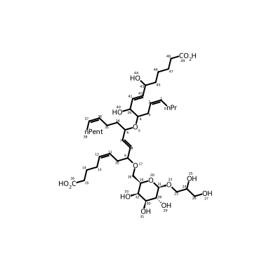 CCC/C=C\CC(OC(/C=C/C(C/C=C\CCCC(=O)O)OC[C@H]1O[C@@H](OCC(O)CO)[C@H](O)[C@@H](O)[C@H]1O)CC/C=C\CCCCC)C(O)/C=C/C(O)CCCCC(=O)O